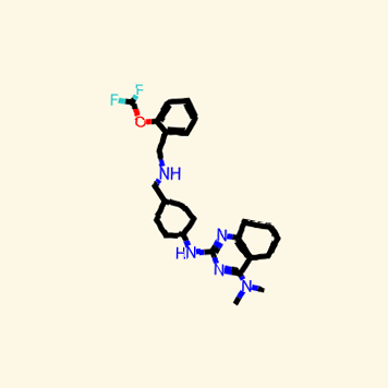 CN(C)c1nc(NC2CCC(CNCc3ccccc3OC(F)F)CC2)nc2c1CCCC2